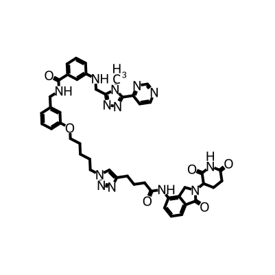 Cn1c(CNc2cccc(C(=O)NCc3cccc(OCCCCCn4cc(CCCC(=O)Nc5cccc6c5CN(C5CCC(=O)NC5=O)C6=O)nn4)c3)c2)nnc1-c1ccncn1